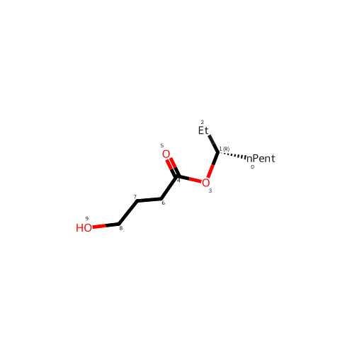 CCCCC[C@@H](CC)OC(=O)CCCO